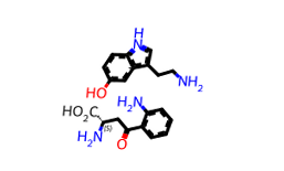 NCCc1c[nH]c2ccc(O)cc12.Nc1ccccc1C(=O)C[C@H](N)C(=O)O